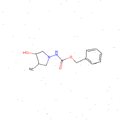 N#CC1CN(NC(=O)OCc2ccccc2)CC1O